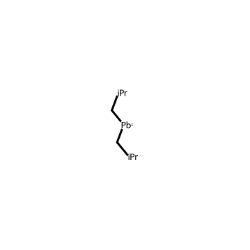 CC(C)[CH2][Pb][CH2]C(C)C